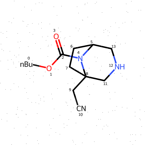 CCCCOC(=O)N1C2CCC1(CC#N)CNC2